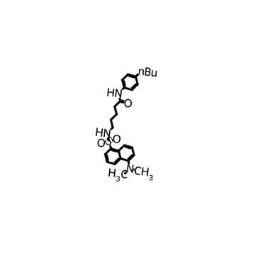 CCCCc1ccc(NC(=O)CCCCNS(=O)(=O)c2cccc3c(N(C)C)cccc23)cc1